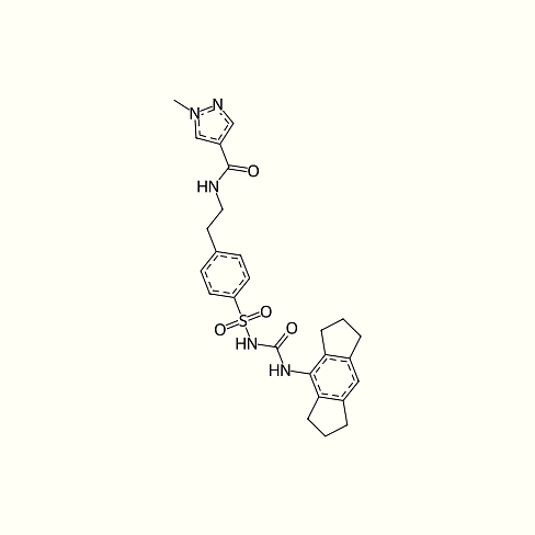 Cn1cc(C(=O)NCCc2ccc(S(=O)(=O)NC(=O)Nc3c4c(cc5c3CCC5)CCC4)cc2)cn1